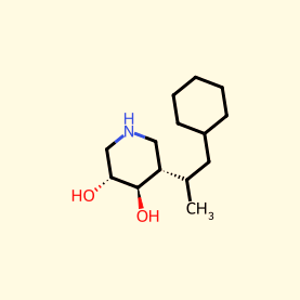 CC(CC1CCCCC1)[C@H]1CNC[C@@H](O)[C@@H]1O